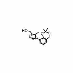 Cc1c(CO)ncn1-c1cccc2c1OC(C)(C)OC2